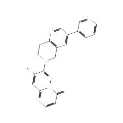 Cc1cc2nccc(=O)n2nc1N1CCc2ncc(-c3cccnc3)cc2C1